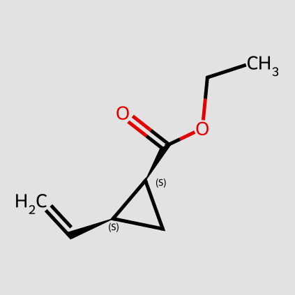 C=C[C@@H]1C[C@@H]1C(=O)OCC